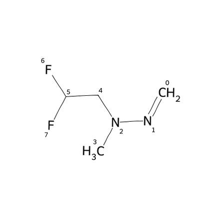 C=NN(C)CC(F)F